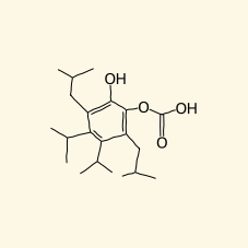 CC(C)Cc1c(O)c(OC(=O)O)c(CC(C)C)c(C(C)C)c1C(C)C